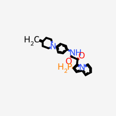 C=C1CCN(c2ccc(NC(=O)C(=O)c3c(P)cc4ccccn34)cc2)CC1